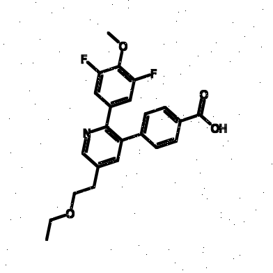 CCOCCc1cnc(-c2cc(F)c(OC)c(F)c2)c(-c2ccc(C(=O)O)cc2)c1